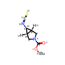 CC(C)(C)OC(=O)N1C[C@@H]2[C@H](C1)[C@H]2N=C=S